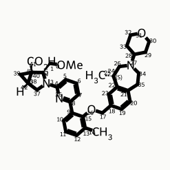 COC[C@H]1N(c2cccc(-c3cccc(C)c3OCc3ccc4c(c3)[C@H](C)CN(C3CCOCC3)CC4)n2)C[C@@H]2C[C@@]21C(=O)O